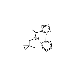 CC(NCC1(C)CC1)c1ncnn1-c1ncccn1